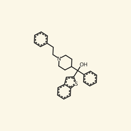 OC(c1ccccc1)(c1cc2ccccc2s1)C1CCN(CCc2ccccc2)CC1